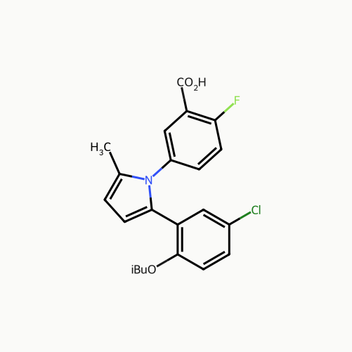 Cc1ccc(-c2cc(Cl)ccc2OCC(C)C)n1-c1ccc(F)c(C(=O)O)c1